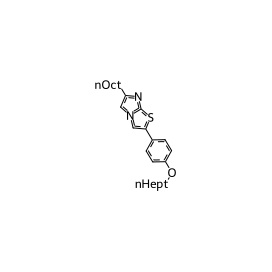 CCCCCCCCc1cn2cc(-c3ccc(OCCCCCCC)cc3)sc2n1